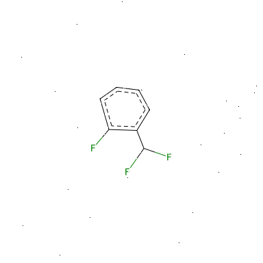 Fc1cc[c]cc1C(F)F